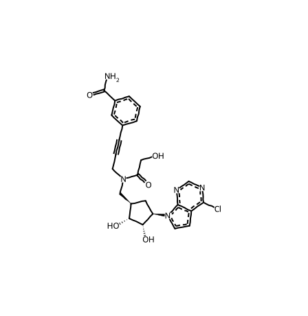 NC(=O)c1cccc(C#CCN(C[C@H]2C[C@@H](n3ccc4c(Cl)ncnc43)[C@H](O)[C@@H]2O)C(=O)CO)c1